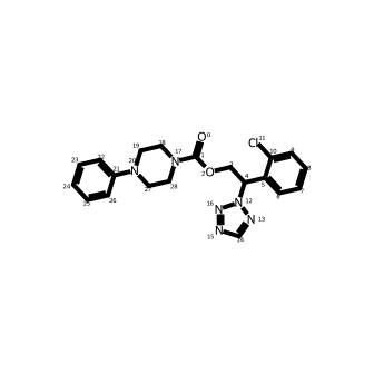 O=C(OCC(c1ccccc1Cl)n1ncnn1)N1CCN(c2ccccc2)CC1